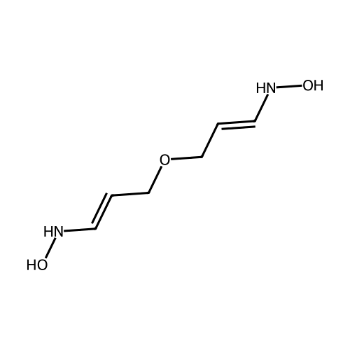 ONC=CCOCC=CNO